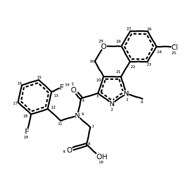 Cn1nc(C(=O)N(CC(=O)O)Cc2c(F)cccc2F)c2c1-c1cc(Cl)ccc1OC2